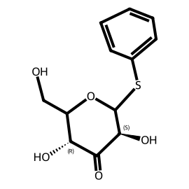 O=C1[C@H](O)C(CO)OC(Sc2ccccc2)[C@H]1O